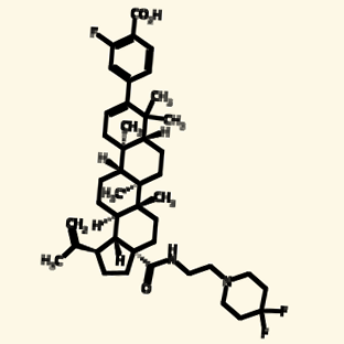 C=C(C)[C@@H]1CC[C@]2(C(=O)NCCN3CCC(F)(F)CC3)CC[C@]3(C)[C@H](CC[C@@H]4[C@@]5(C)CC=C(c6ccc(C(=O)O)c(F)c6)C(C)(C)[C@@H]5CC[C@]43C)[C@@H]12